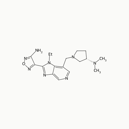 CCn1c(-c2nonc2N)nc2cncc(CN3CC[C@H](N(C)C)C3)c21